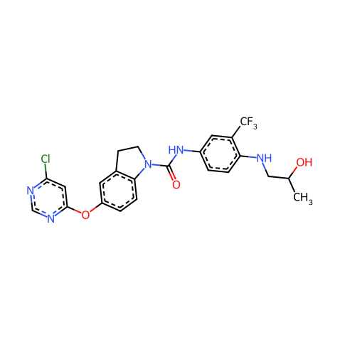 CC(O)CNc1ccc(NC(=O)N2CCc3cc(Oc4cc(Cl)ncn4)ccc32)cc1C(F)(F)F